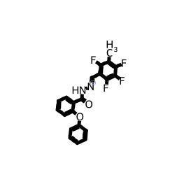 Cc1c(F)c(F)c(F)c(/C=N/NC(=O)c2ccccc2Oc2ccccc2)c1F